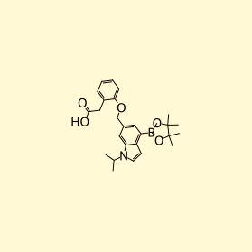 CC(C)n1ccc2c(B3OC(C)(C)C(C)(C)O3)cc(COc3ccccc3CC(=O)O)cc21